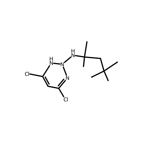 CC(C)(C)CC(C)(C)NN1N=C(Cl)C=C(Cl)N1